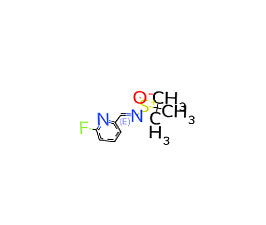 CC(C)(C)[S+]([O-])/N=C/c1cccc(F)n1